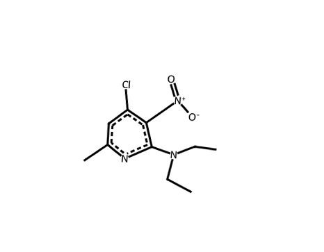 CCN(CC)c1nc(C)cc(Cl)c1[N+](=O)[O-]